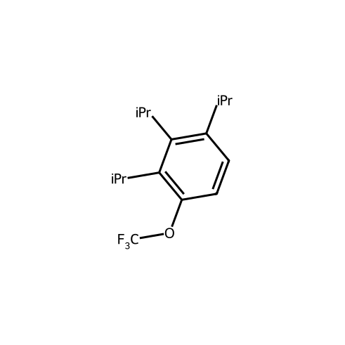 CC(C)c1ccc(OC(F)(F)F)c(C(C)C)c1C(C)C